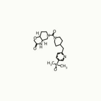 CP(C)(=O)c1ccc(CC2CCN(C(=O)N3CC[C@@H]4OCC(=O)N[C@@H]4C3)CC2)nc1